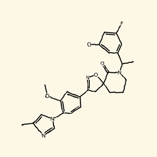 COc1cc(C2=NOC3(CCCN(C(C)c4cc(F)cc(Cl)c4)C3=O)C2)ccc1-n1cnc(C)c1